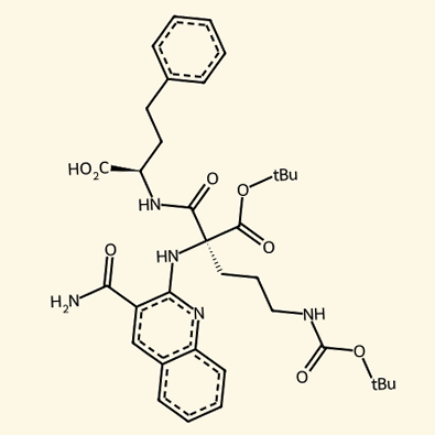 CC(C)(C)OC(=O)NCCC[C@](Nc1nc2ccccc2cc1C(N)=O)(C(=O)N[C@H](CCc1ccccc1)C(=O)O)C(=O)OC(C)(C)C